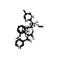 CCO[C@H](c1ncc(C)cn1)[C@H](Cc1nnc(-c2cccnc2)n1-c1c(OC)cccc1OC)N[SH](=O)=O